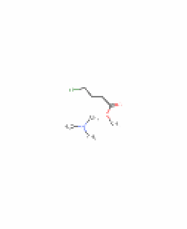 CN(C)C.O=C(CCCCl)O[SiH3]